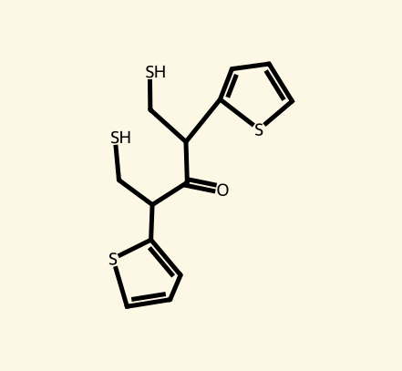 O=C(C(CS)c1cccs1)C(CS)c1cccs1